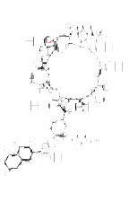 CCC1/C=C(\C)CC(C)CC(OC)C2OC(O)(C(=O)C(=O)N3CCCCC3C(=O)OC(C(C)=CC3CCC(OCC(O)c4ccc5ccccc5c4)C(OC)C3)C(C)C(O)CC1=O)C(C)CC2OC